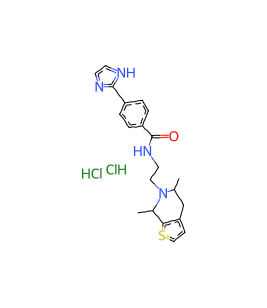 CC1Cc2ccsc2C(C)N1CCNC(=O)c1ccc(-c2ncc[nH]2)cc1.Cl.Cl